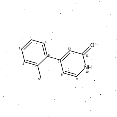 Cc1ccccc1-c1cc[nH]c(=O)c1